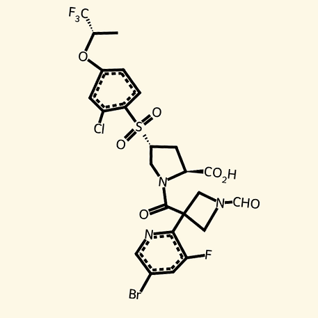 C[C@H](Oc1ccc(S(=O)(=O)[C@@H]2C[C@@H](C(=O)O)N(C(=O)C3(c4ncc(Br)cc4F)CN(C=O)C3)C2)c(Cl)c1)C(F)(F)F